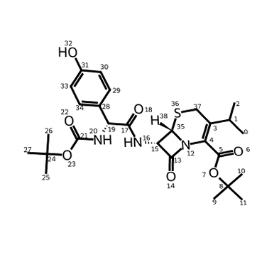 CC(C)C1=C(C(=O)OC(C)(C)C)N2C(=O)[C@H](NC(=O)[C@H](NC(=O)OC(C)(C)C)c3ccc(O)cc3)[C@@H]2SC1